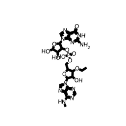 CCOC1C(COP(=O)(O)OC2C(O)C(O)OC2n2cnc3c(=O)[nH]c(N)nc32)OC(n2cnc3c(NC)ncnc32)C1O